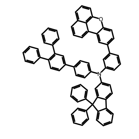 c1ccc(-c2ccc(-c3ccc(N(c4cccc(-c5ccc6c(c5)-c5cccc7cccc(c57)O6)c4)c4ccc5c(c4)C(c4ccccc4)(c4ccccc4)c4ccccc4-5)cc3)cc2-c2ccccc2)cc1